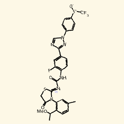 COC(C)c1ccc(C)cc1N1C(=O)CS/C1=N\C(=O)Nc1ccc(-c2ncn(-c3ccc([S+]([O-])C(F)(F)F)cc3)n2)cc1F